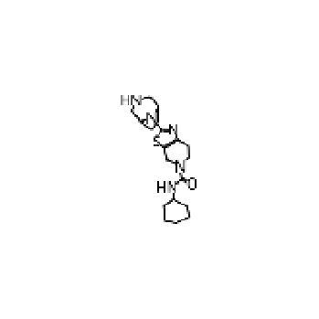 O=C(NC1CCCCC1)N1CCc2nc(N3C4CCC3CNC4)sc2C1